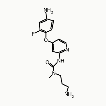 CN(CCCN)C(=O)Nc1cc(Oc2ccc(N)cc2F)ccn1